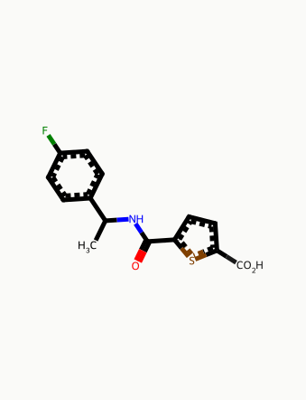 CC(NC(=O)c1ccc(C(=O)O)s1)c1ccc(F)cc1